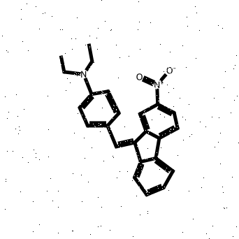 CCN(CC)c1ccc(C=C2c3ccccc3-c3ccc([N+](=O)[O-])cc32)cc1